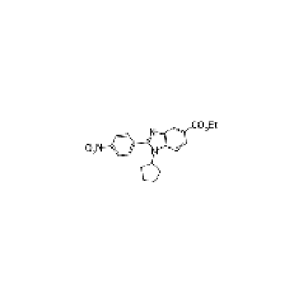 CCOC(=O)c1ccc2c(c1)nc(-c1ccc([N+](=O)[O-])cc1)n2C1CCCC1